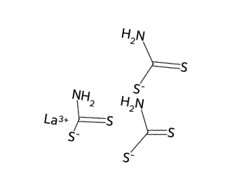 NC(=S)[S-].NC(=S)[S-].NC(=S)[S-].[La+3]